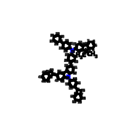 CC1(C)c2ccccc2-c2ccc(N(c3ccc(-c4ccccc4)cc3)c3ccc(-c4ccc5c(c4)c4cc(C6Cc7ccccc76)ccc4n5-c4ccc(C5Cc6ccccc65)cc4)cc3)cc21